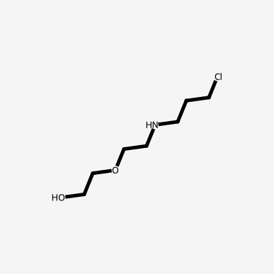 OCCOCCNCCCCl